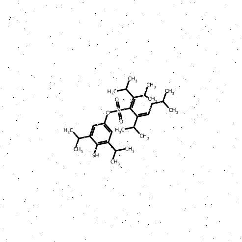 CC(C)C/C=C(\C(=C(C(C)C)C(C)C)S(=O)(=O)Oc1cc(C(C)C)c(S)c(C(C)C)c1)C(C)C